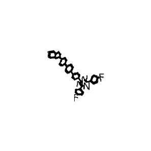 Fc1ccc(-c2nc(-c3ccc(F)cc3)nc(-c3ccc(-c4ccc(-c5ccc(-c6ccc7ccccc7c6)cc5)cc4)cc3)n2)cc1